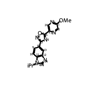 COc1cnc(-c2nc(-c3ccc4c(c3)nnn4C(C)C)no2)cn1